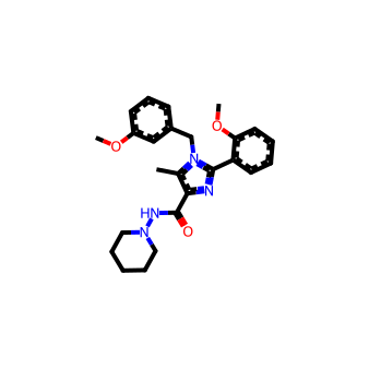 COc1cccc(Cn2c(-c3ccccc3OC)nc(C(=O)NN3CCCCC3)c2C)c1